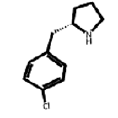 Clc1ccc(C[C@@H]2CCCN2)cc1